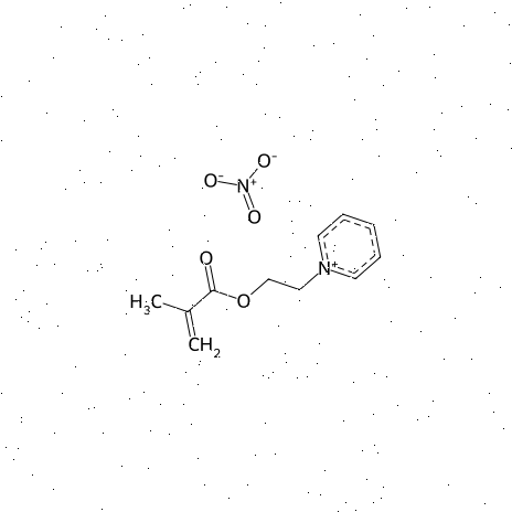 C=C(C)C(=O)OCC[n+]1ccccc1.O=[N+]([O-])[O-]